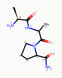 C[C@H](N)C(=O)NC(C(=O)N1CCCC1C(N)=O)C(C)(C)C